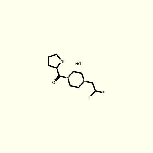 Cl.O=C(C1CCCN1)N1CCN(CC(F)F)CC1